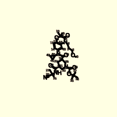 COCCCN1C(=O)C(C)(C)Oc2ccc(N(C(=O)[C@@H]3C[C@H](C(=O)NC(C)(C)C#N)CN(C(=O)OC(C)(C)C)C3)C3CC3)cc21